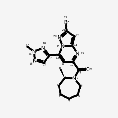 C[C@@H]1CCCCCN1C(=O)c1cc(-c2cnn(C)n2)n2nc(Br)cc2n1